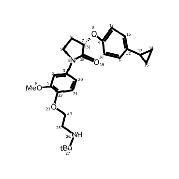 COc1cc(N2CC[C@H](Oc3ccc(C4CC4)cc3)C2=O)ccc1OCCNC(C)(C)C